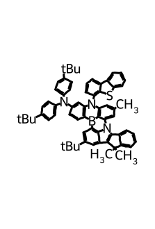 Cc1cc2c3c(c1)-n1c4c(c5cc(C(C)(C)C)cc(c51)B3c1ccc(N(c3ccc(C(C)(C)C)cc3)c3ccc(C(C)(C)C)cc3)cc1N2c1cccc2c1sc1ccccc12)C(C)(C)c1ccccc1-4